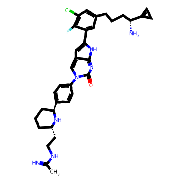 CC(=N)NCC[C@@H]1CCC[C@@H](c2ccc(-n3cc4cc(-c5cc(CCC[C@@H](N)C6=CC6)cc(Cl)c5F)[nH]c4nc3=O)cc2)N1